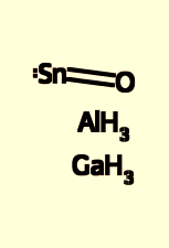 [AlH3].[GaH3].[O]=[Sn]